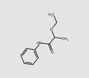 CCOC(C)C(=O)Nc1ccccc1